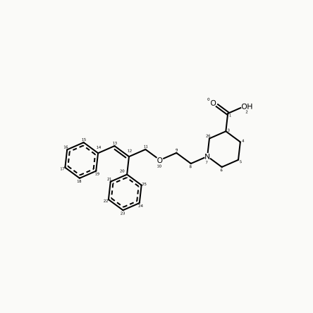 O=C(O)C1CCCN(CCOCC(=Cc2ccccc2)c2ccccc2)C1